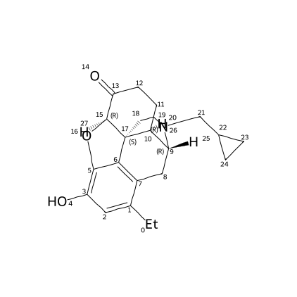 CCc1cc(O)c2c3c1C[C@@H]1[C@@H]4CCC(=O)[C@H](O2)[C@]34CCN1CC1CC1